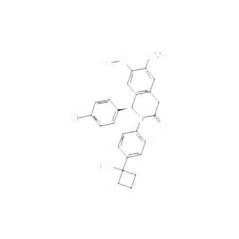 COc1cc2c(cc1OC(C)C)[C@H](c1ccc(Cl)cc1)N(c1ccc(C3(O)CCC3)cc1)C(=O)C2